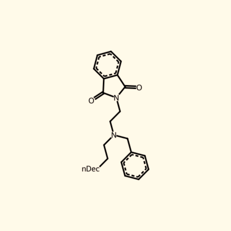 CCCCCCCCCCCCN(CCN1C(=O)c2ccccc2C1=O)Cc1ccccc1